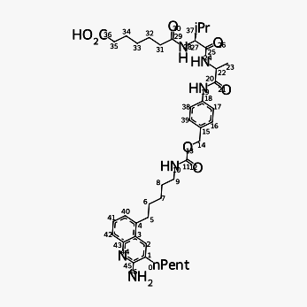 CCCCCc1cc2c(CCCCCNC(=O)OCc3ccc(NC(=O)C(C)NC(=O)[C@@H](NC(=O)CCCCCC(=O)O)C(C)C)cc3)cccc2nc1N